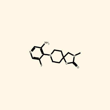 CN1CC2(CCN(c3c(N)cncc3F)CC2)OC1=O